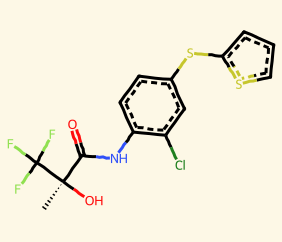 C[C@@](O)(C(=O)Nc1ccc(Sc2cccs2)cc1Cl)C(F)(F)F